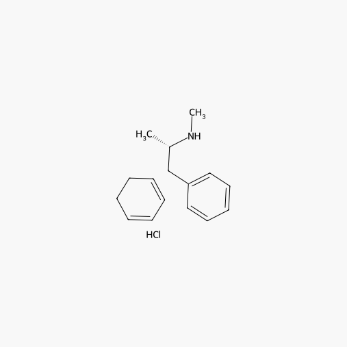 C1=CCCC=C1.CN[C@@H](C)Cc1ccccc1.Cl